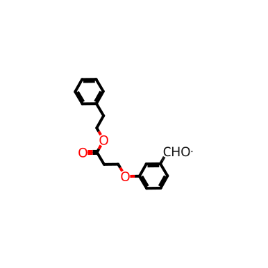 O=[C]c1cccc(OCCC(=O)OCCc2ccccc2)c1